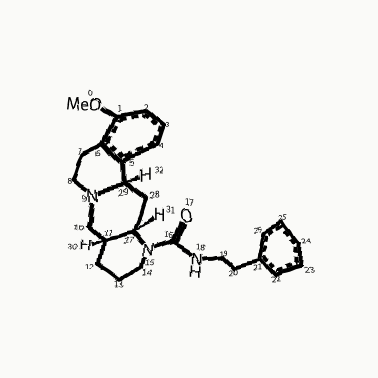 COc1cccc2c1CCN1C[C@H]3CCCN(C(=O)NCCc4ccccc4)[C@H]3C[C@@H]21